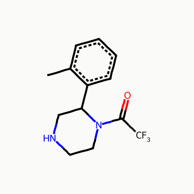 Cc1ccccc1C1CNCCN1C(=O)C(F)(F)F